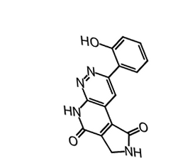 O=C1NCc2c1c1cc(-c3ccccc3O)nnc1[nH]c2=O